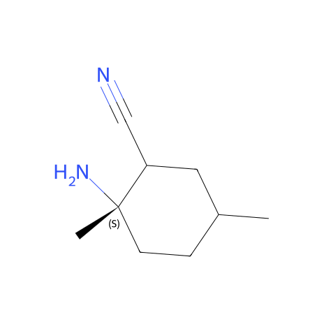 CC1CC[C@](C)(N)C(C#N)C1